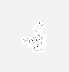 CC(C)C[C@H](NC(=O)OC1CCCC1Cc1ccccc1)C(=O)N[C@@H](C[C@@H]1CCNC1=O)C(=O)C(=O)NC1CC1